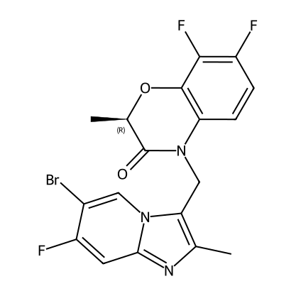 Cc1nc2cc(F)c(Br)cn2c1CN1C(=O)[C@@H](C)Oc2c1ccc(F)c2F